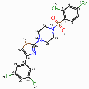 O=S(=O)(c1ccc(Br)cc1Cl)N1CCN(c2nc(-c3cc(F)cc(F)c3)cs2)CC1